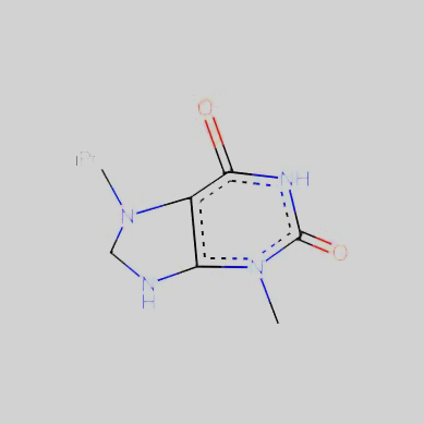 CC(C)N1CNc2c1c(=O)[nH]c(=O)n2C